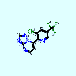 FC(F)(F)c1cnc(-c2ccnc3ncnn23)c(Cl)c1